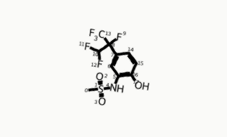 CS(=O)(=O)Nc1cc(C(F)(C(F)F)C(F)(F)F)ccc1O